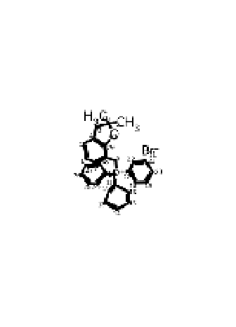 CC1(C)Cc2cccc(C[P+](c3ccccc3)(c3ccccc3)c3ccccc3)c2O1.[Br-]